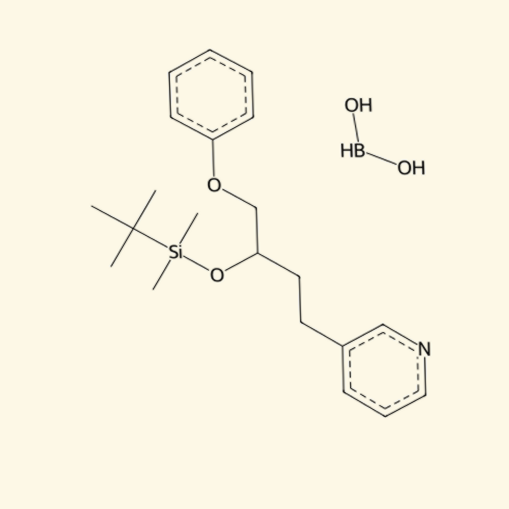 CC(C)(C)[Si](C)(C)OC(CCc1cccnc1)COc1ccccc1.OBO